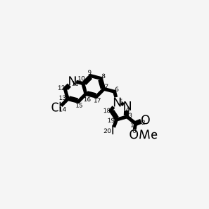 COC(=O)c1nn(Cc2ccc3ncc(Cl)cc3c2)cc1I